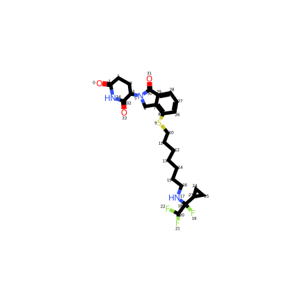 O=C1CCC(N2Cc3c(SCCCCCCCNC(F)(C(F)F)C4CC4)cccc3C2=O)C(=O)N1